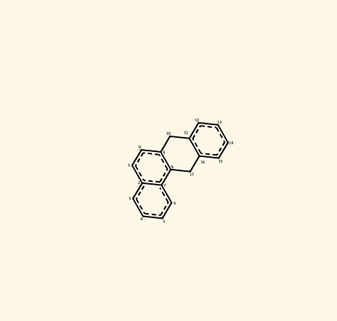 [c]1cc2ccccc2c2c1Cc1ccccc1C2